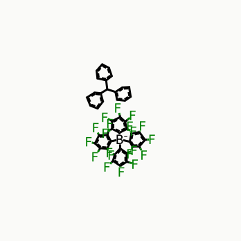 Fc1c(F)c(F)c([B-](c2c(F)c(F)c(F)c(F)c2F)(c2c(F)c(F)c(F)c(F)c2F)c2c(F)c(F)c(F)c(F)c2F)c(F)c1F.c1ccc(C(c2ccccc2)c2ccccc2)cc1